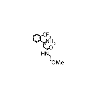 COCCNC(=O)C[C@H](N)c1ccccc1C(F)(F)F